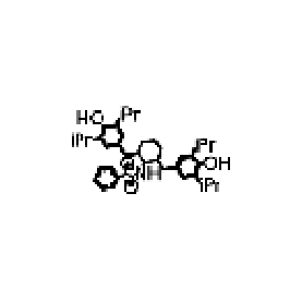 CC(C)c1cc(CC2CCCC(Cc3cc(C(C)C)c(O)c(C(C)C)c3)C2NS(=O)(=O)c2ccccc2)cc(C(C)C)c1O